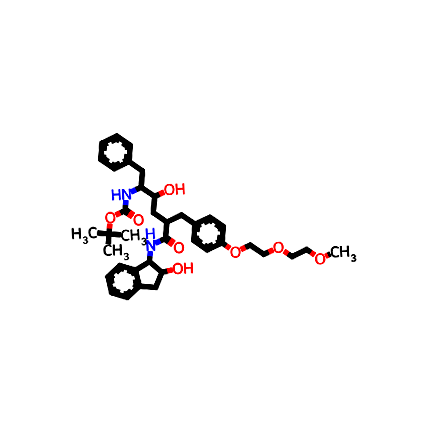 COCCOCCOc1ccc(CC(CC(O)C(Cc2ccccc2)NC(=O)OC(C)(C)C)C(=O)NC2c3ccccc3CC2O)cc1